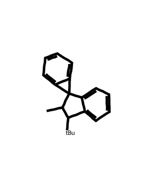 C[C]1C(C(C)(C)C)c2ccccc2C12c1ccccc12